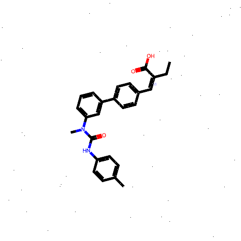 CC/C(=C/c1ccc(-c2cccc(N(C)C(=O)Nc3ccc(C)cc3)c2)cc1)C(=O)O